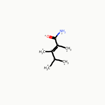 C/C(C(N)=O)=C(/C)C(C)C